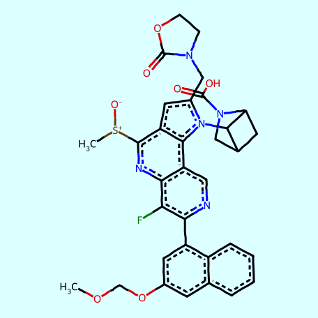 COCOc1cc(-c2ncc3c(nc([S+](C)[O-])c4cc(CN5CCOC5=O)n(C5C6CC5N(C(=O)O)C6)c43)c2F)c2ccccc2c1